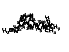 CC([C@H](C)O)N1CCN(c2ccc(-c3cc(-c4cnn(C)c4)cn4ncc(C#N)c34)cn2)CC1